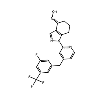 ON=C1CCCc2c1cnn2-c1cc(Cc2cc(F)cc(C(F)(F)F)c2)ccn1